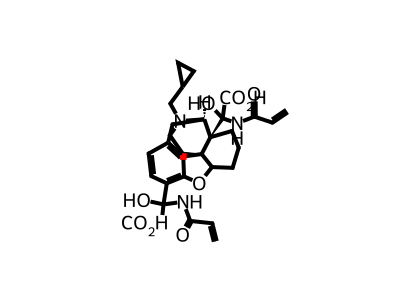 C=CC(=O)NC(O)(C(=O)O)c1ccc2c3c1OC1CCC[C@@]4(C(O)(NC(=O)C=C)C(=O)O)[C@@H](C2)N(CC2CC2)CC[C@]314